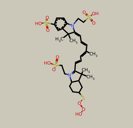 CC(C=C/C=C1/N(CCS(=O)(=O)O)c2ccc(S(=O)(=O)O)cc2C1(C)C)=CC=CC1=[N+](CCS(=O)(=O)O)C2CCC(SOOO)CC2C1(C)C